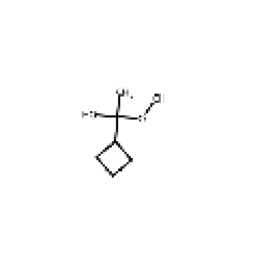 [CH2]C(O)(OC)C1CCC1